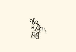 CC(C)(COCc1ccc(F)c(Oc2ccccc2)c1)c1ccc(OC(Cl)=C(Cl)Cl)cc1